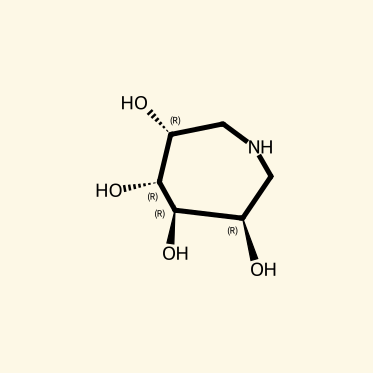 O[C@H]1[C@H](O)[C@H](O)CNC[C@H]1O